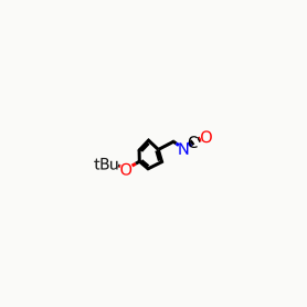 CC(C)(C)Oc1ccc(CN=C=O)cc1